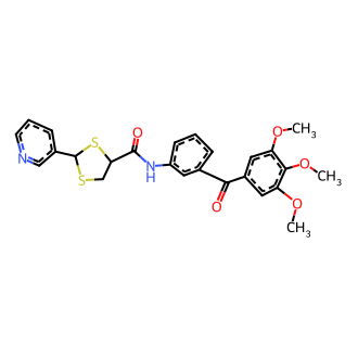 COc1cc(C(=O)c2cccc(NC(=O)C3CSC(c4cccnc4)S3)c2)cc(OC)c1OC